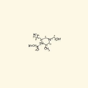 COC(=O)N1C(C)CN(CO)CC1C